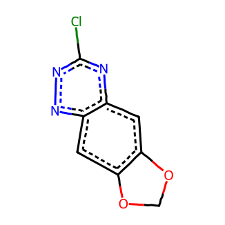 Clc1nnc2cc3c(cc2n1)OCO3